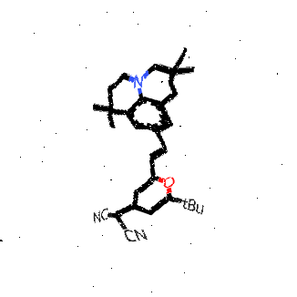 CC1(C)Cc2cc(/C=C/C3=CC(=C(C#N)C#N)C=C(C(C)(C)C)O3)cc3c2N(CCC3(C)C)C1